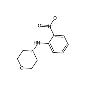 O=[N+]([O-])c1ccccc1NN1CCOCC1